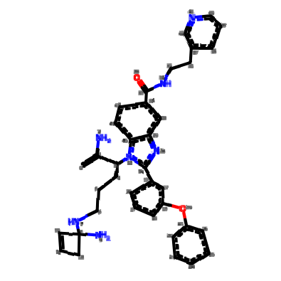 C=C(N)[C@H](CCCNC1(N)C=CC1)n1c(-c2cccc(Oc3ccccc3)c2)nc2cc(C(=O)NCCc3cccnc3)ccc21